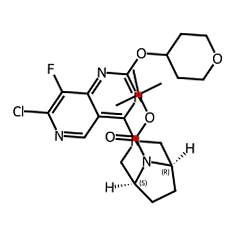 CC(C)(C)OC(=O)N1[C@@H]2CC[C@H]1CN(c1nc(OC3CCOCC3)nc3c(F)c(Cl)ncc13)C2